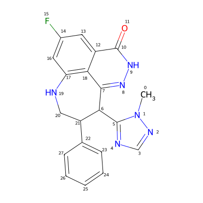 Cn1ncnc1C1c2n[nH]c(=O)c3cc(F)cc(c23)NCC1c1ccccc1